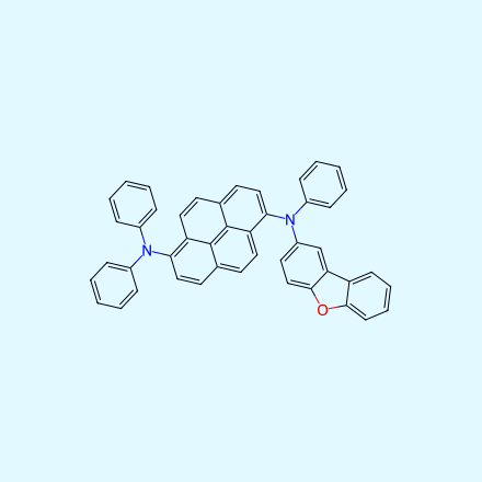 c1ccc(N(c2ccccc2)c2ccc3ccc4c(N(c5ccccc5)c5ccc6oc7ccccc7c6c5)ccc5ccc2c3c54)cc1